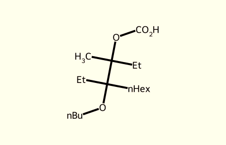 CCCCCCC(CC)(OCCCC)C(C)(CC)OC(=O)O